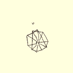 [CH]12[CH]3[CH]4[CH]5[CH]1[Fe]23451678[CH]2[CH]1[CH]6[CH]7[CH]28.[V]